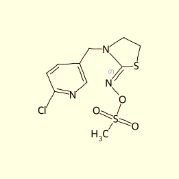 CS(=O)(=O)O/N=C1\SCCN1Cc1ccc(Cl)nc1